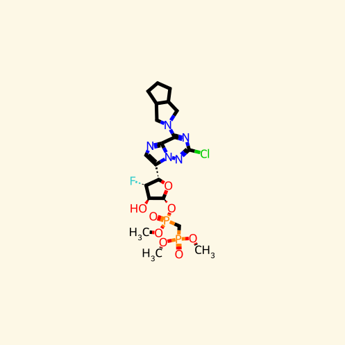 COP(=O)(CP(=O)(OC)O[C@H]1O[C@@H](c2cnc3c(N4CC5CCCC5C4)nc(Cl)nn23)[C@@H](F)[C@@H]1O)OC